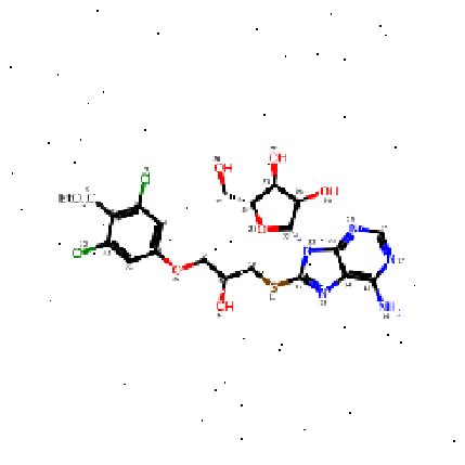 CCOC(=O)c1c(Cl)cc(OCC(O)CSc2nc3c(N)ncnc3n2[C@@H]2O[C@H](CO)[C@@H](O)[C@H]2O)cc1Cl